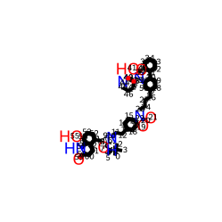 CC(C)(C)[Si](C)(C)O[C@@H](CNCCc1ccc2c(c1)oc(=O)n2CCCCc1ccc(-c2ccccc2)c(N(C(=O)O)C2CN3CCC2CC3)c1)c1ccc(O)c2[nH]c(=O)ccc12